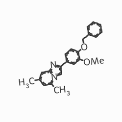 COc1cc(-c2cn3c(C)cc(C)cc3n2)ccc1OCc1ccccc1